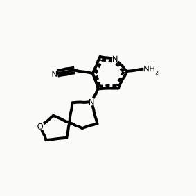 N#Cc1cnc(N)cc1N1CCC2(CCOC2)C1